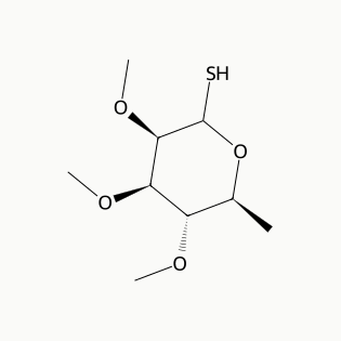 CO[C@@H]1[C@@H](OC)[C@@H](OC)C(S)O[C@H]1C